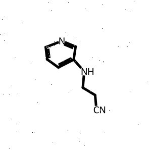 N#CCCNc1cccnc1